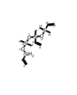 C=C[SiH2]O[Si](C)(C)O[Si](C)(C=C)O[Si](C)(C)C=C